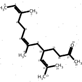 CC=C(C)CCC=C(C)CC(C=C(C)C)CCC(C)=O